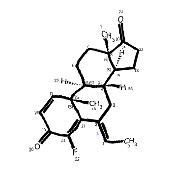 C/C=C1\C[C@@H]2[C@H](CC[C@]3(C)C(=O)CC[C@@H]23)[C@@]2(C)C=CC(=O)C(F)=C12